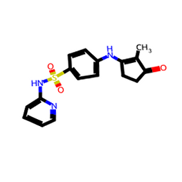 CC1=C(Nc2ccc(S(=O)(=O)Nc3ccccn3)cc2)CCC1=O